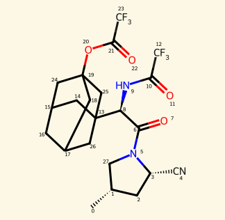 C[C@H]1C[C@@H](C#N)N(C(=O)[C@H](NC(=O)C(F)(F)F)C23CC4CC(CC(OC(=O)C(F)(F)F)(C4)C2)C3)C1